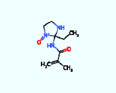 C=C(C)C(=O)NC1(CC)NCC[N+]1=O